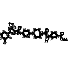 COC(=O)c1ccc(NC(=O)N2CCN(c3ccc(NC(=O)c4oc(N5CCCC(C)C5)nc4C(F)(F)F)cn3)CC2)cc1